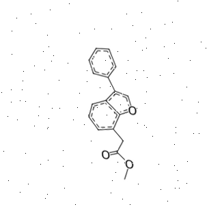 COC(=O)Cc1cccc2c(-c3ccccc3)coc12